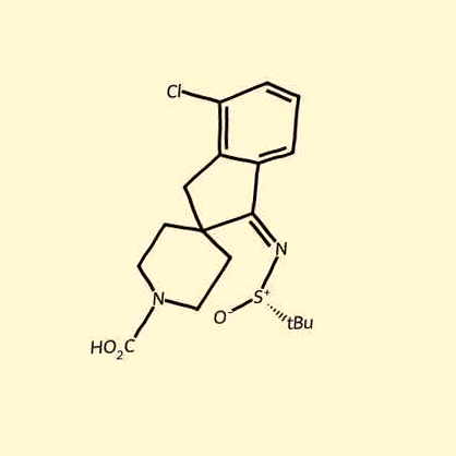 CC(C)(C)[S@+]([O-])/N=C1/c2cccc(Cl)c2CC12CCN(C(=O)O)CC2